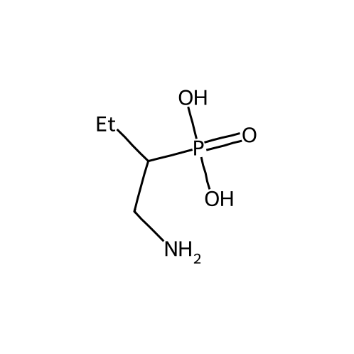 CCC(CN)P(=O)(O)O